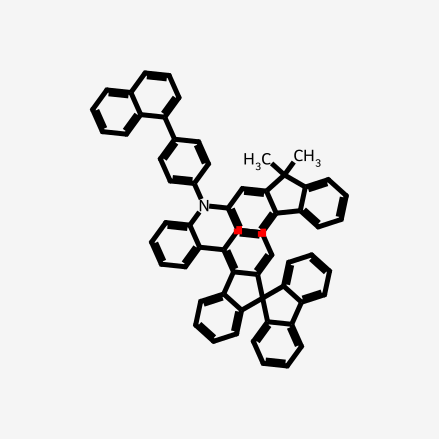 CC1(C)c2ccccc2-c2ccc(N(c3ccc(-c4cccc5ccccc45)cc3)c3ccccc3-c3cccc4c3-c3ccccc3C43c4ccccc4-c4ccccc43)cc21